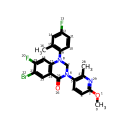 COc1ccc(N2CN(c3ccc(F)cc3C)c3cc(F)c(Br)cc3C2=O)c(C)n1